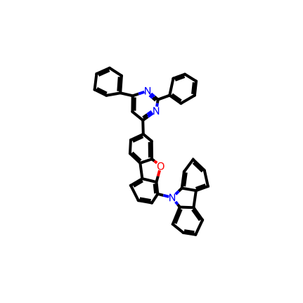 c1ccc(-c2cc(-c3ccc4c(c3)oc3c(-n5c6ccccc6c6ccccc65)cccc34)nc(-c3ccccc3)n2)cc1